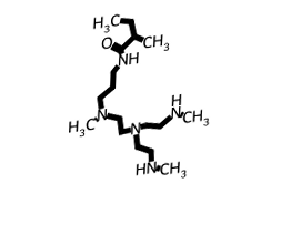 CCC(C)C(=O)NCCCN(C)CCN(CCNC)CCNC